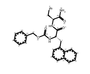 CC(C)C[C@H](NC(=O)[C@H](Cc1cccc2ccccc12)NC(=O)OCc1ccccc1)C(N)=O